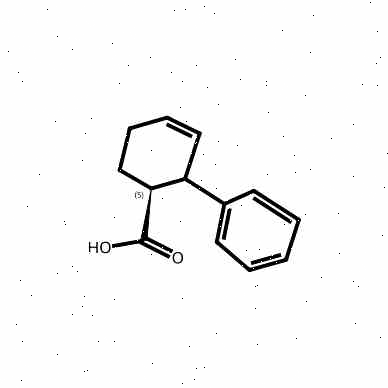 O=C(O)[C@H]1CCC=CC1c1ccccc1